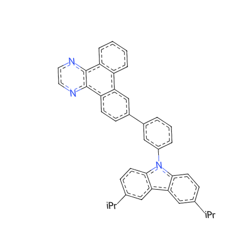 CC(C)c1ccc2c(c1)c1cc(C(C)C)ccc1n2-c1cccc(-c2ccc3c(c2)c2ccccc2c2nccnc32)c1